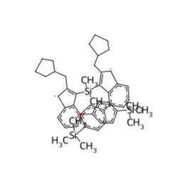 C[Si](C)(C1=C(CC2CCCC2)[CH]c2cccc(-c3ccc([Si](C)(C)C)cc3)c21)C1=C(CC2CCCC2)[CH]c2cccc(-c3ccc([Si](C)(C)C)cc3)c21